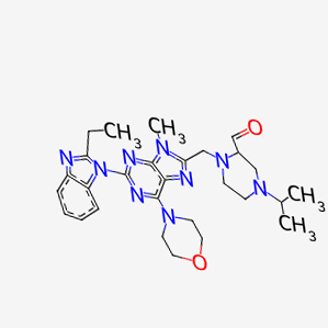 CCc1nc2ccccc2n1-c1nc(N2CCOCC2)c2nc(CN3CCN(C(C)C)CC3C=O)n(C)c2n1